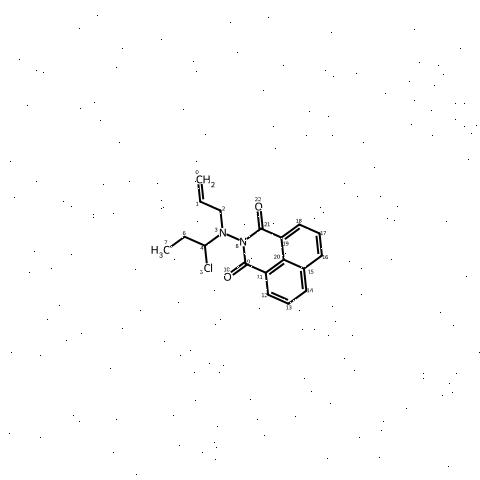 C=CCN(C(Cl)CC)N1C(=O)c2cccc3cccc(c23)C1=O